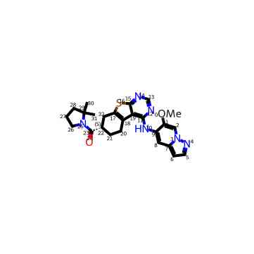 COc1cn2nccc2cc1Nc1ncnc2sc3c(c12)CC[C@H](C(=O)N1CCCC1(C)C)C3